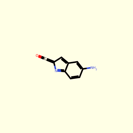 Nc1ccc2c(c1)=CC(=C=O)N=2